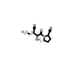 CC[C@H](C#N)[C@H](N)C(=O)N1CCCC1C#N